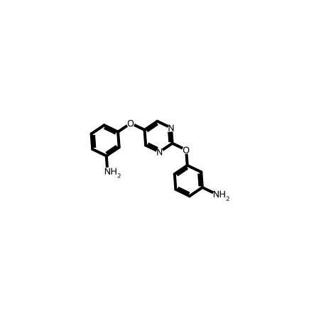 Nc1cccc(Oc2cnc(Oc3cccc(N)c3)nc2)c1